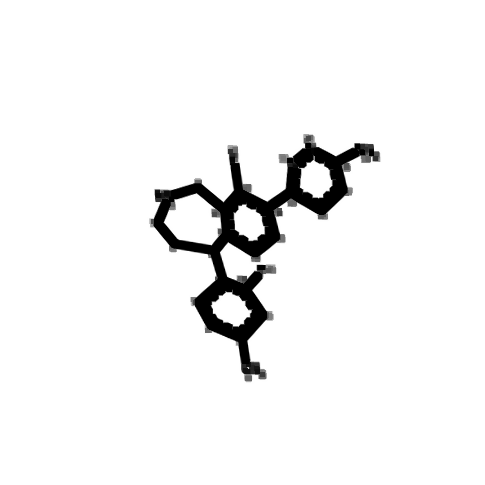 Cc1ccc(C2CCNCc3c2ccc(-c2ccc(N)nn2)c3F)c(F)c1